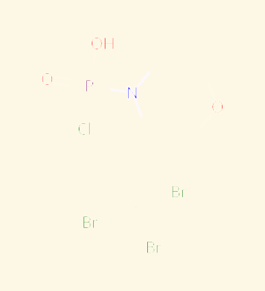 O=P(O)(Cl)N1CCOCC1CC(Br)(Br)Br